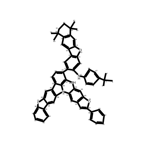 CC(C)(C)c1ccc(Nc2cc3oc4cc5c(cc4c3cc2-c2ccc3c4cc6sc7ccccc7c6cc4n4c3c2Bc2cc3oc(-c6ccccc6)cc3cc2-4)C(C)(C)CCC5(C)C)cc1